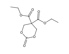 CCOC(=O)C1(C(=O)OCC)CO[P](=O)OC1